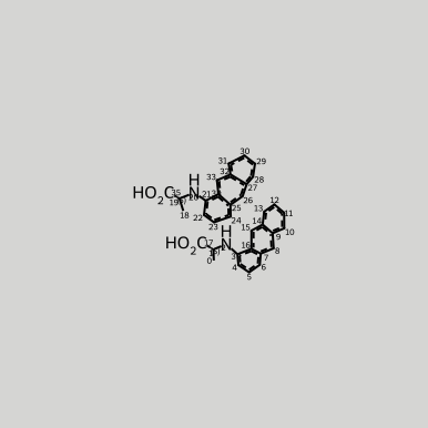 C[C@H](Nc1cccc2cc3ccccc3cc12)C(=O)O.C[C@H](Nc1cccc2cc3ccccc3cc12)C(=O)O